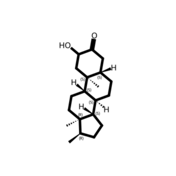 C[C@@H]1CC[C@H]2[C@@H]3CC[C@H]4CC(=O)C(O)C[C@]4(C)[C@H]3CC[C@]12C